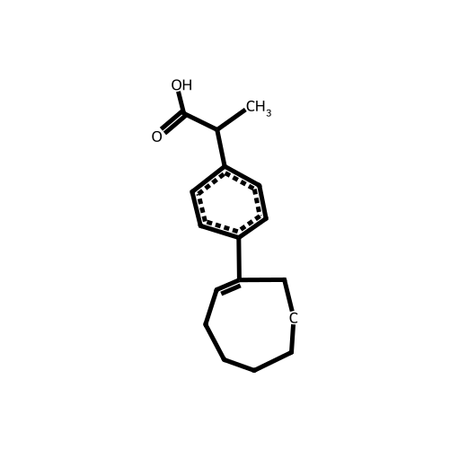 CC(C(=O)O)c1ccc(C2=CCCCCCC2)cc1